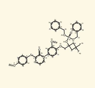 COc1ccc(Sc2nccn(-c3ccc(OCC4(OP(=O)(OCc5ccccc5)OCc5ccccc5)CC(F)(F)C4)c(OC)c3)c2=O)cc1